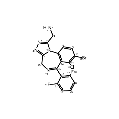 NCc1nnc2n1-c1ccc(Br)c(Cl)c1C(c1c(F)cccc1F)=NC2